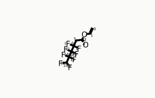 C=COC(=O)CC(F)(F)C(F)(F)C(F)(F)C(F)F